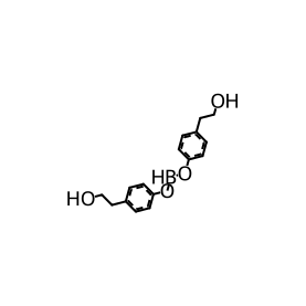 OCCc1ccc(OBOc2ccc(CCO)cc2)cc1